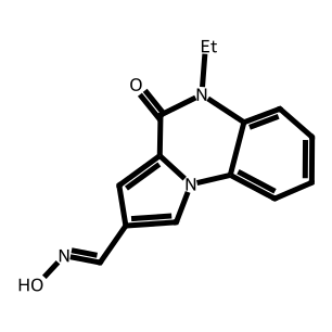 CCn1c(=O)c2cc(C=NO)cn2c2ccccc21